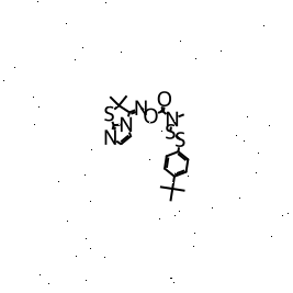 CN(SSc1ccc(C(C)(C)C)cc1)C(=O)ON=C1n2ccnc2SC1(C)C